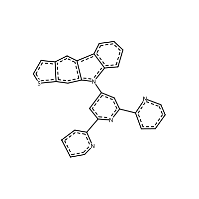 c1ccc(-c2cc(-n3c4ccccc4c4cc5ccsc5cc43)cc(-c3ccccn3)n2)nc1